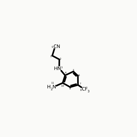 N#CCCNc1ccc(C(F)(F)F)cc1N